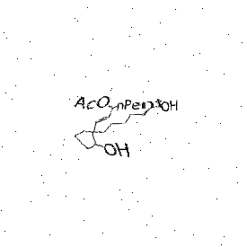 CCCCCC(C=CC1(CCCCCCO)CCCC1O)OC(C)=O